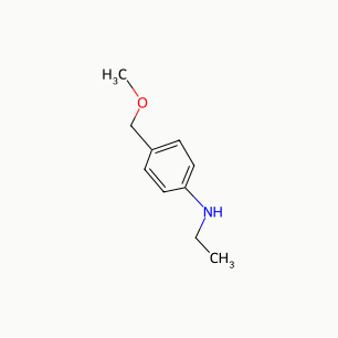 CCNc1ccc(COC)cc1